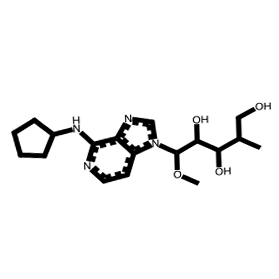 COC(C(O)C(O)C(C)CO)n1cnc2c(NC3CCCC3)nccc21